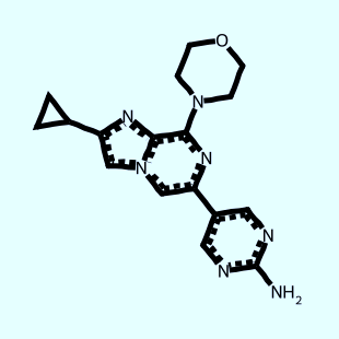 Nc1ncc(-c2cn3cc(C4CC4)nc3c(N3CCOCC3)n2)cn1